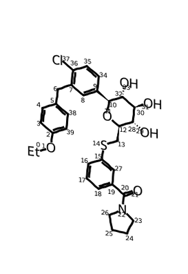 CCOc1ccc(Cc2cc([C@@H]3O[C@H](CSc4cccc(C(=O)N5CCCC5)c4)[C@@H](O)[C@H](O)[C@H]3O)ccc2Cl)cc1